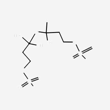 CC(C)(CCOS(C)(=O)=O)OC(C)(C)CCOS(C)(=O)=O